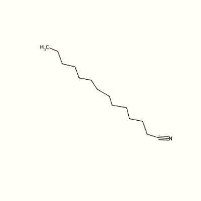 CCCCCCCCCCCCCC#N